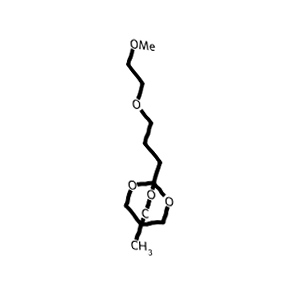 COCCOCCCC12OCC(C)(CO1)CO2